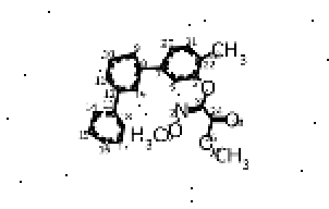 CON=C(Oc1cc(-c2cccc(-c3ccccc3)c2)ccc1C)C(=O)OC